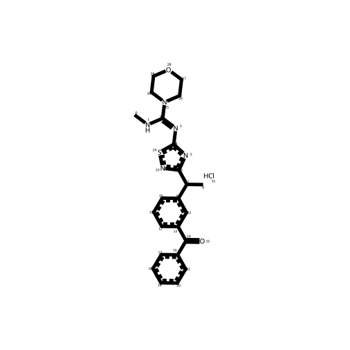 CN/C(=N\c1nc(C(C)c2cccc(C(=O)c3ccccc3)c2)ns1)N1CCOCC1.Cl